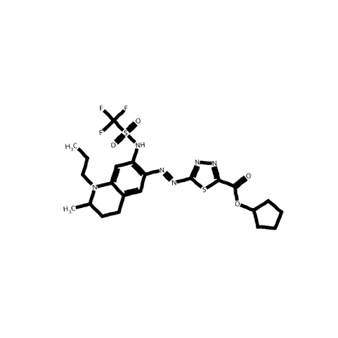 CCCN1c2cc(NS(=O)(=O)C(F)(F)F)c(N=Nc3nnc(C(=O)OC4CCCC4)s3)cc2CCC1C